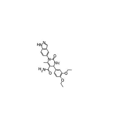 CCOc1ccc(C2NC(=O)N(c3ccc4[nH]ncc4c3)C(C)=C2C(N)=O)cc1OCC